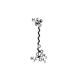 CC(C)(C)OC(=O)COCCCCCCCOS(C)(=O)=O